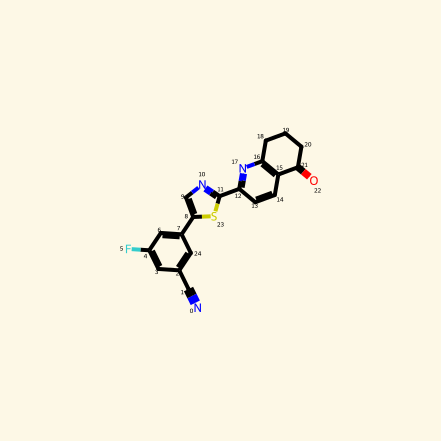 N#Cc1cc(F)cc(-c2cnc(-c3ccc4c(n3)CCCC4=O)s2)c1